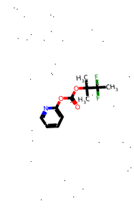 CC(F)(F)C(C)(C)OC(=O)Oc1ccccn1